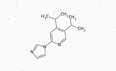 CC(C)c1cnc(-n2ccnc2)cc1C(C)C